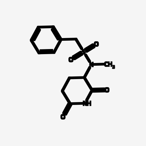 CN(C1CCC(=O)NC1=O)S(=O)(=O)Cc1ccccc1